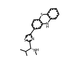 CN[C@@H](c1nc(-c2ccc3c(c2)Nc2ccccc2S3)cs1)C(C)C